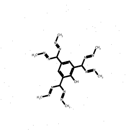 CN=NC(N=NC)c1cc(C(N=NC)N=NC)c(O)c(C(N=NC)N=NC)c1